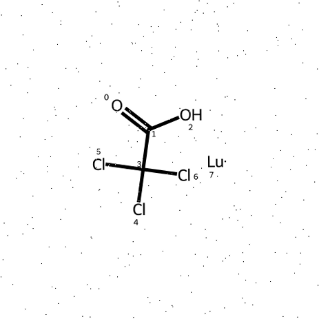 O=C(O)C(Cl)(Cl)Cl.[Lu]